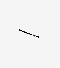 CC/C=C/CCCCCCCCC=CCCCC